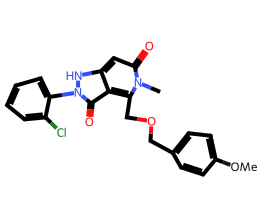 COc1ccc(COCc2c3c(=O)n(-c4ccccc4Cl)[nH]c3cc(=O)n2C)cc1